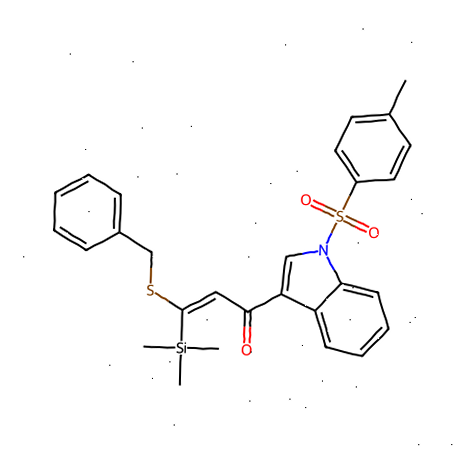 Cc1ccc(S(=O)(=O)n2cc(C(=O)/C=C(/SCc3ccccc3)[Si](C)(C)C)c3ccccc32)cc1